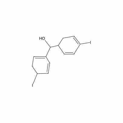 OC(C1=CCC(I)C=C1)C1C=CC(I)=CC1